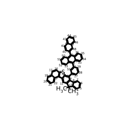 CC1(C)c2ccccc2-c2c1cc1c(sc3ccc4ccccc4c31)c2-c1cccc(-c2c3ccccc3c(-c3ccc4ccccc4c3)c3ccccc23)c1